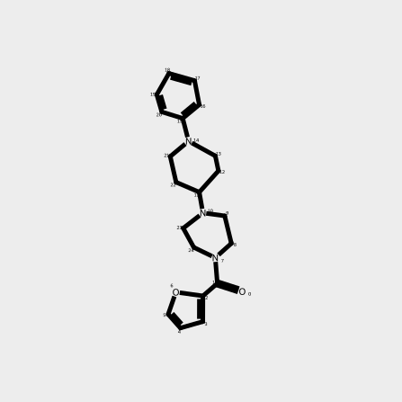 O=C(c1ccco1)N1CCN(C2CCN(c3ccccc3)CC2)CC1